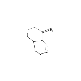 C=C1CCCC2CCC=CC12